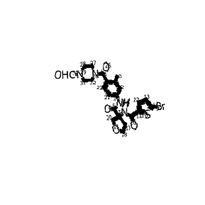 Cc1cc(NC(=O)C2(NC(=O)c3ccc(Br)s3)CCOC2)ccc1C(=O)N1CCN(C=O)CC1